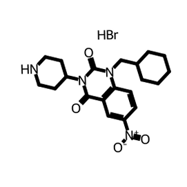 Br.O=c1c2cc([N+](=O)[O-])ccc2n(CC2CCCCC2)c(=O)n1C1CCNCC1